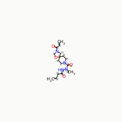 C=CC(=O)N1COC2(CCN(C(=O)N(C)NC(=O)CCC)CC2)C1